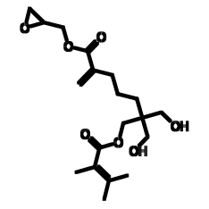 C=C(CCCC(CO)(CO)COC(=O)C(C)=C(C)C)C(=O)OCC1CO1